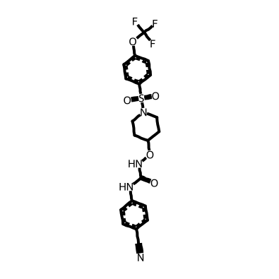 N#Cc1ccc(NC(=O)NOC2CCN(S(=O)(=O)c3ccc(OC(F)(F)F)cc3)CC2)cc1